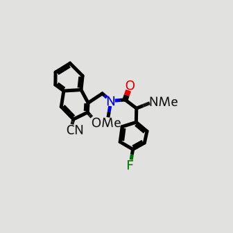 CNC(C(=O)N(C)Cc1c(OC)c(C#N)cc2ccccc12)c1ccc(F)cc1